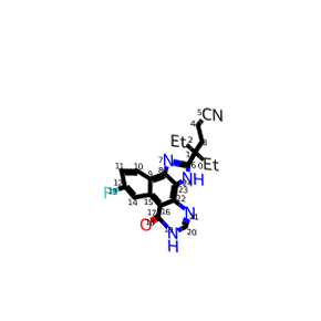 CCC(CC)(CCC#N)c1nc2c3ccc(F)cc3c3c(=O)[nH]cnc3c2[nH]1